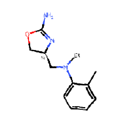 CCN(C[C@H]1COC(N)=N1)c1ccccc1C